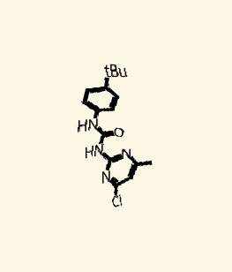 Cc1cc(Cl)nc(NC(=O)Nc2ccc(C(C)(C)C)cc2)n1